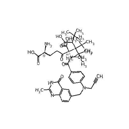 C#CCN(Cc1ccc2nc(C)[nH]c(=O)c2c1)c1ccc(C(=O)N(C)[C@@](C(=O)O)(C(=O)CC[C@H](N)C(=O)O)C(C(C(=O)O)C(C)(C)C)(C(C)(C)C)C(C)(C)C)cc1